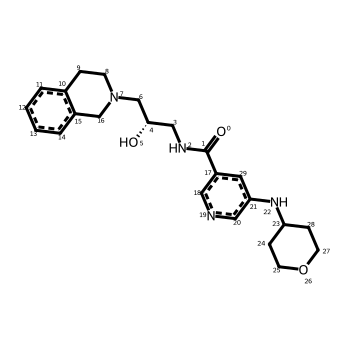 O=C(NC[C@H](O)CN1CCc2ccccc2C1)c1cncc(NC2CCOCC2)c1